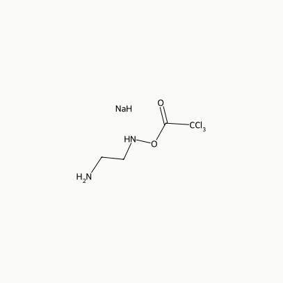 NCCNOC(=O)C(Cl)(Cl)Cl.[NaH]